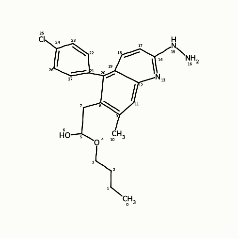 CCCCOC(O)Cc1c(C)cc2nc(NN)ccc2c1-c1ccc(Cl)cc1